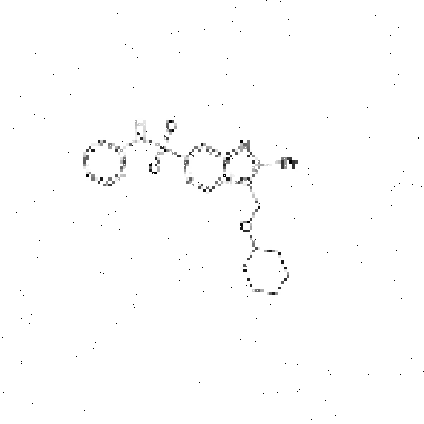 CC(C)c1nc2cc(S(=O)(=O)Nc3ccccc3)ccn2c1COC1CCCCC1